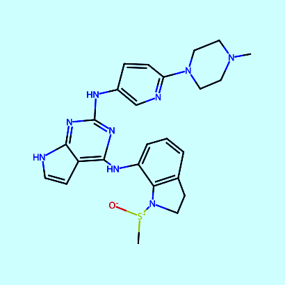 CN1CCN(c2ccc(Nc3nc(Nc4cccc5c4N([S+](C)[O-])CC5)c4cc[nH]c4n3)cn2)CC1